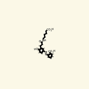 O=C(O)CCCCCNC(=O)CCc1cc(/N=N/c2ccccc2C(=O)O)ccc1O